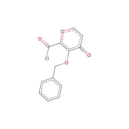 O=C(Cl)c1occc(=O)c1OCc1ccccc1